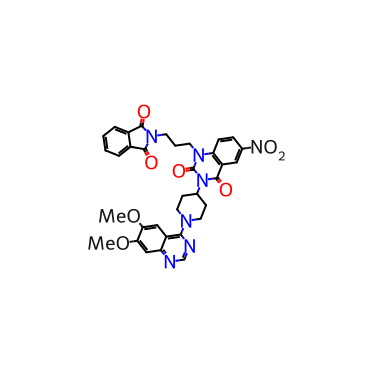 COc1cc2ncnc(N3CCC(n4c(=O)c5cc([N+](=O)[O-])ccc5n(CCCN5C(=O)c6ccccc6C5=O)c4=O)CC3)c2cc1OC